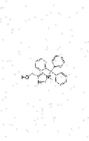 C[N+]1(C(c2ccccc2)(c2ccccc2)c2ccccc2)C=NC(CO)=C1